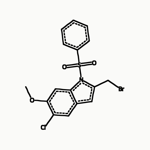 COc1cc2c(cc1Cl)cc(CBr)n2S(=O)(=O)c1ccccc1